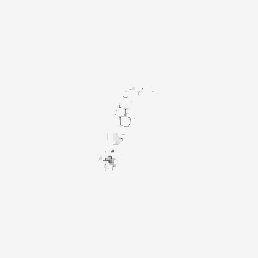 CC(C)(C)C1CCC(Oc2ccc3cc(CNCCC(=O)NS(C)(=O)=O)ccc3c2)CC1